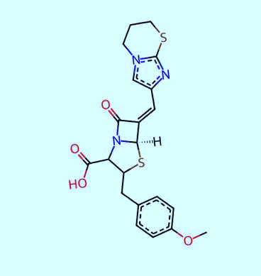 COc1ccc(CC2S[C@@H]3C(=Cc4cn5c(n4)SCCC5)C(=O)N3C2C(=O)O)cc1